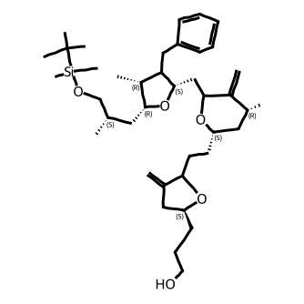 C=C1C[C@H](CCCO)OC1CC[C@H]1C[C@@H](C)C(=C)C(C[C@@H]2O[C@H](C[C@H](C)CO[Si](C)(C)C(C)(C)C)[C@H](C)C2Cc2ccccc2)O1